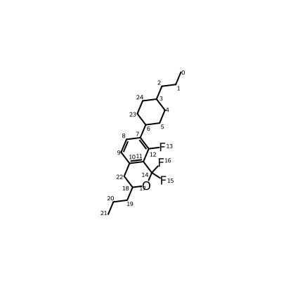 CCCC1CCC(c2ccc3c(c2F)C(F)(F)OC(CCC)C3)CC1